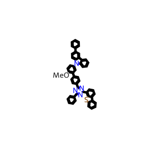 COc1ccc(-n2c3ccccc3c3cc(-c4ccccc4)ccc32)cc1-c1ccc(-c2nc(-c3ccccc3)nc(-c3cccc4c3sc3ccccc34)n2)cc1